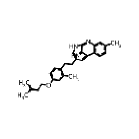 Cc1ccc2c(c1)N=C1NC=C(CCc3ccc(OCCC(C)C)cc3C)C=C2C1=N